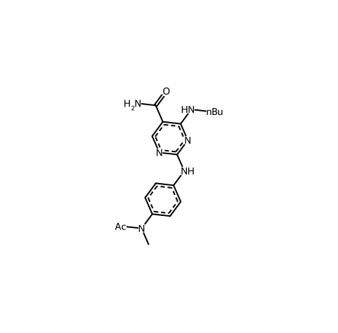 CCCCNc1nc(Nc2ccc(N(C)C(C)=O)cc2)ncc1C(N)=O